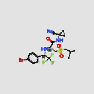 CC(C)CS(=O)(=O)C[C@H](N[C@@H](c1ccc(Br)cc1)C(F)(F)F)C(=O)NC1(C#N)CC1